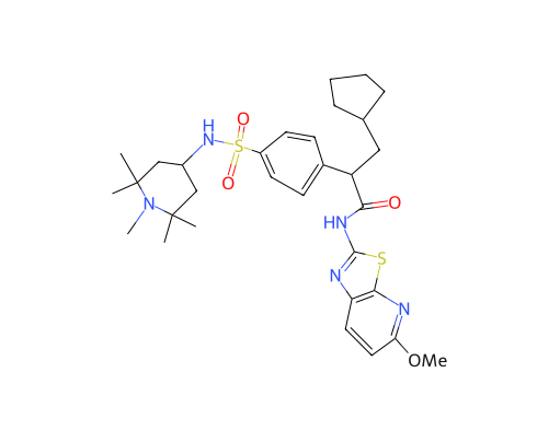 COc1ccc2nc(NC(=O)C(CC3CCCC3)c3ccc(S(=O)(=O)NC4CC(C)(C)N(C)C(C)(C)C4)cc3)sc2n1